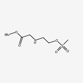 CC(C)(C)OC(=O)CNCCOS(C)(=O)=O